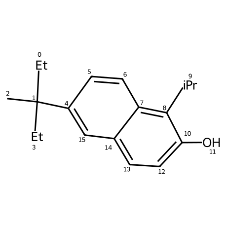 CCC(C)(CC)c1ccc2c(C(C)C)c(O)ccc2c1